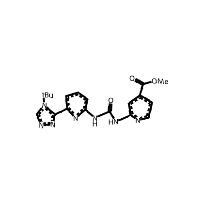 COC(=O)c1ccnc(NC(=O)Nc2cccc(-c3nncn3C(C)(C)C)n2)c1